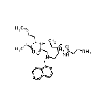 CCC(C)C(CN(CC(=O)NC(CCSC)C(=O)OC)Cc1cccc2ccccc12)NC(=O)CCN